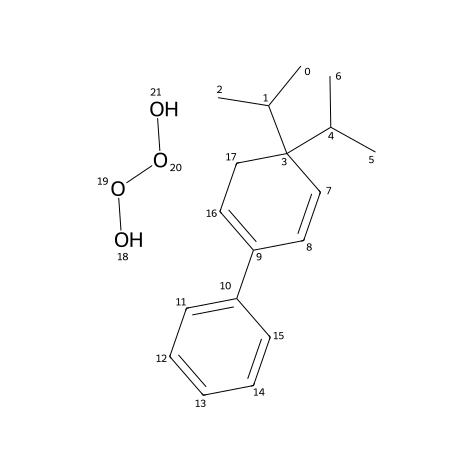 CC(C)C1(C(C)C)C=CC(c2ccccc2)=CC1.OOOO